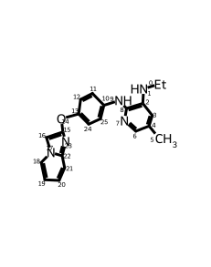 CCNc1cc(C)cnc1Nc1ccc(Oc2cn3ccccc3n2)cc1